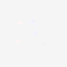 CC1=NC(=O)C2N1C([N+](=O)[O-])=C[S+]2[O-]